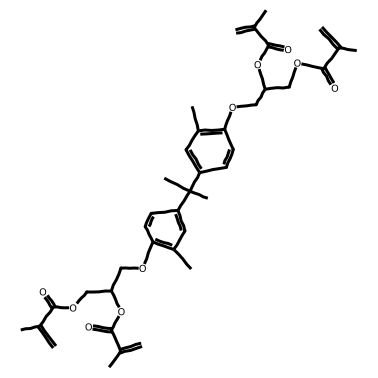 C=C(C)C(=O)OCC(COc1ccc(C(C)(C)c2ccc(OCC(COC(=O)C(=C)C)OC(=O)C(=C)C)c(C)c2)cc1C)OC(=O)C(=C)C